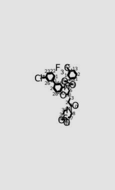 O=C(CC[C@H]1CN(S(=O)(=O)c2cccc(C(F)(F)F)c2)c2cc(-c3cccc(Cl)c3)ccc2O1)N1CCS(=O)(=O)CC1